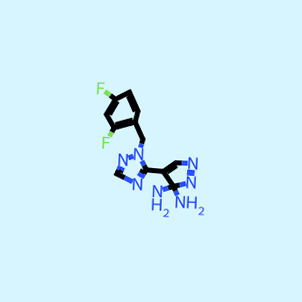 NC1(N)N=NC=C1c1ncnn1Cc1ccc(F)cc1F